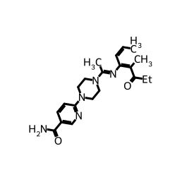 C\C=C/C(/N=C(\C)N1CCN(c2ccc(C(N)=O)cn2)CC1)=C(\C)C(=O)CC